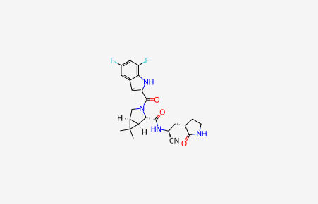 CC1(C)[C@@H]2[C@@H](C(=O)N[C@H](C#N)C[C@@H]3CCNC3=O)N(C(=O)c3cc4cc(F)cc(F)c4[nH]3)C[C@@H]21